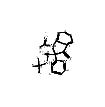 C=C1c2ccccc2N(C(C)=O)C1(C(=O)NC(C)(C)C)c1ccccn1